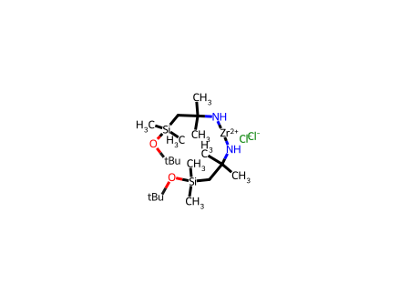 CC(C)(C[Si](C)(C)OC(C)(C)C)[NH][Zr+2][NH]C(C)(C)C[Si](C)(C)OC(C)(C)C.[Cl-].[Cl-]